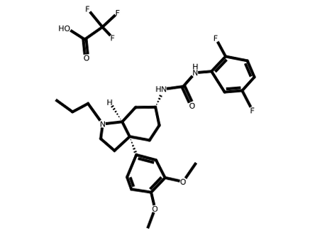 CCCN1CC[C@]2(c3ccc(OC)c(OC)c3)CC[C@@H](NC(=O)Nc3cc(F)ccc3F)C[C@H]12.O=C(O)C(F)(F)F